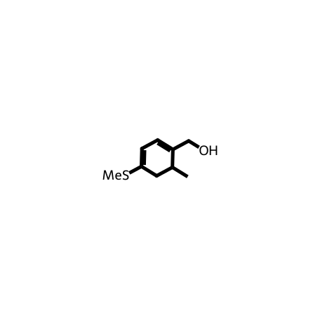 CSC1=CC=C(CO)C(C)C1